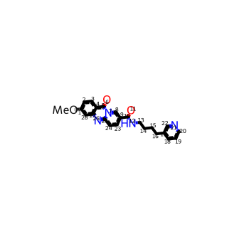 COc1ccc2c(=O)n3cc(C(=O)NCCCCc4cccnc4)ccc3nc2c1